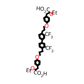 CCOC(Cc1ccc(OCCCc2ccc(-c3ccc(CCCOc4ccc(C[C@H](OCC)C(=O)O)cc4)c(C(F)(F)F)c3)cc2C(F)(F)F)cc1)C(=O)O